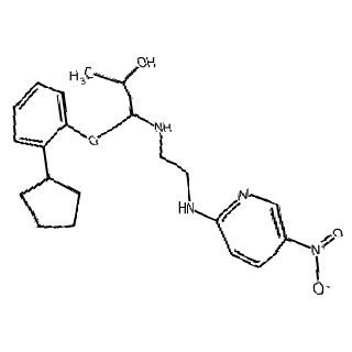 CC(O)C(NCCNc1ccc([N+](=O)[O-])cn1)Oc1ccccc1C1CCCC1